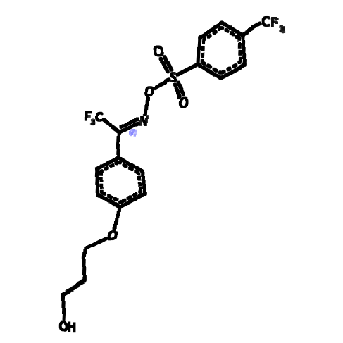 O=S(=O)(O/N=C(/c1ccc(OCCCO)cc1)C(F)(F)F)c1ccc(C(F)(F)F)cc1